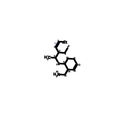 CC/C=C\C(CI)C(C)SC1CCC=CC1CN